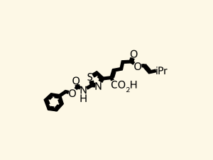 CC(C)C=COC(=O)CCC=C(C(=O)O)c1csc(NC(=O)OCc2ccccc2)n1